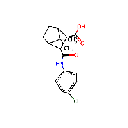 CC1(C)C2CCC1C(C(=O)Nc1ccc(Cl)cc1)C2C(=O)O